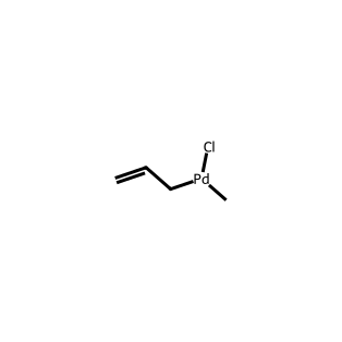 C=C[CH2][Pd]([CH3])[Cl]